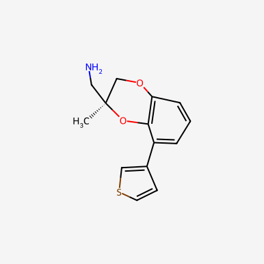 C[C@]1(CN)COc2cccc(-c3ccsc3)c2O1